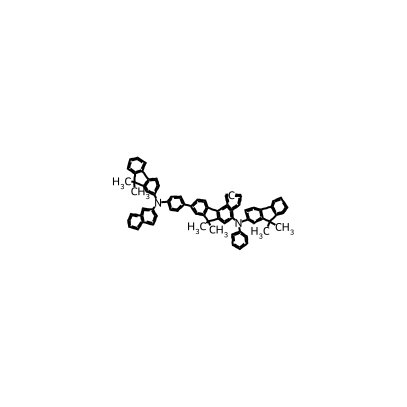 CC1(C)c2ccccc2-c2ccc(N(c3ccc(-c4ccc5c(c4)C(C)(C)c4cc(N(c6ccccc6)c6ccc7c(c6)C(C)(C)c6ccccc6-7)c6ccccc6c4-5)cc3)c3ccc4ccccc4c3)cc21